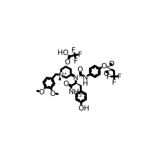 COc1ccc(C[N+]2(C)CCC/C(=[N+](\C(=O)Nc3ccc(OS(=O)(=O)CC(F)(F)F)cc3)[C@@H](Cc3ccc(O)cc3)C(N)=O)C2)cc1OC.O=C(O)C(F)(F)F